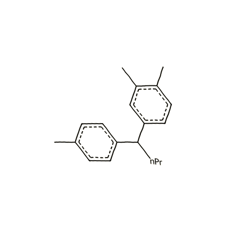 CCCC(c1ccc(C)cc1)c1ccc(C)c(C)c1